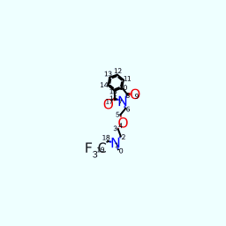 CN(CCOCCN1C(=O)c2ccccc2C1=O)CC(F)(F)F